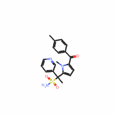 Cc1ccc(C(=O)c2ccc(C(C)(c3cccnc3)S(N)(=O)=O)n2C)cc1